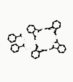 NC(=O)c1ccccc1.NC(=O)c1ccccc1.c1ccc2c(c1)-c1nc-2nc2[nH]c(nc3nc(nc4[nH]c(n1)c1ccccc41)-c1ccccc1-3)c1ccccc21